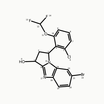 OC1CC(c2c(Cl)cccc2OC(F)F)n2c1nc1ccc(Br)cc12